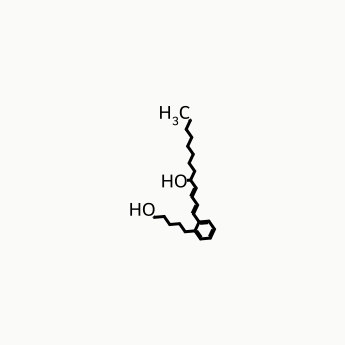 CCCCCCCCC(O)/C=C/C=C/c1ccccc1CCCCCO